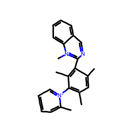 Cc1cc(C)c(-[n+]2ccccc2C)c(C)c1-c1ncc2ccccc2[n+]1C